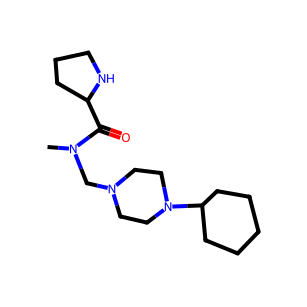 CN(CN1CCN(C2CCCCC2)CC1)C(=O)C1CCCN1